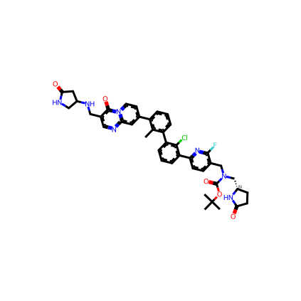 Cc1c(-c2ccn3c(=O)c(CNC4CNC(=O)C4)cnc3c2)cccc1-c1cccc(-c2ccc(CN(C[C@@H]3CCC(=O)N3)C(=O)OC(C)(C)C)c(F)n2)c1Cl